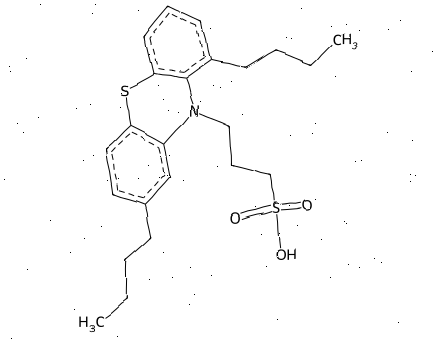 CCCCc1ccc2c(c1)N(CCCS(=O)(=O)O)c1c(CCCC)cccc1S2